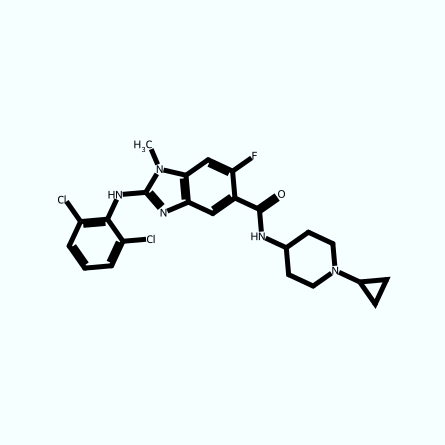 Cn1c(Nc2c(Cl)cccc2Cl)nc2cc(C(=O)NC3CCN(C4CC4)CC3)c(F)cc21